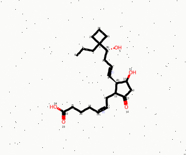 CCCC1([C@H](O)C/C=C/[C@H]2C(O)CC(=O)C2C/C=C\CCCC(=O)O)CCC1